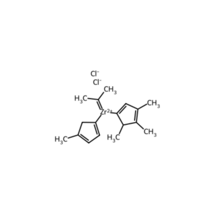 CC1=CC=[C]([Zr+2]([C]2=CC(C)=C(C)C2C)=[C](C)C)C1.[Cl-].[Cl-]